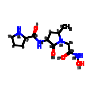 CC1CC(NC(=O)C2CCCN2)C(=O)N1CC(=O)NO